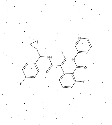 Cc1c(C(=O)NC(c2ccc(F)cc2)C2CC2)c2cccc(F)c2c(=O)n1-c1cccnc1